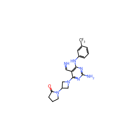 N=Cc1c(Nc2cccc(C(F)(F)F)c2)nc(N)nc1N1CC(N2CCCC2=O)C1